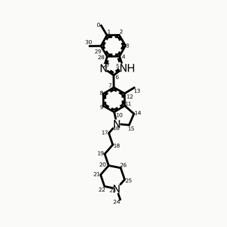 Cc1ccc2[nH]c(-c3ccc4c(c3C)CCN4CCCC3CCN(C)CC3)nc2c1C